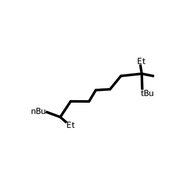 CCCCC(CC)CCCCCC(C)(CC)C(C)(C)C